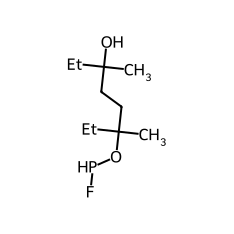 CCC(C)(O)CCC(C)(CC)OPF